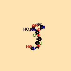 Cc1c(COc2cc(OCc3cncc(C#N)c3)c(CN[C@@](C)(CO)C(=O)O)cc2Cl)cccc1-c1cccc(O[C@@H](C)CCN2CC[C@@H](O)C2)c1Cl